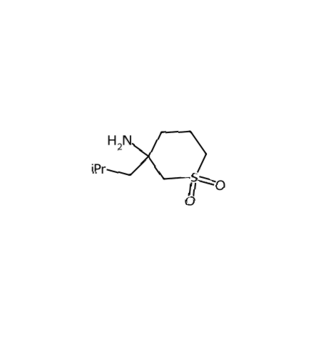 CC(C)CC1(N)CCCS(=O)(=O)C1